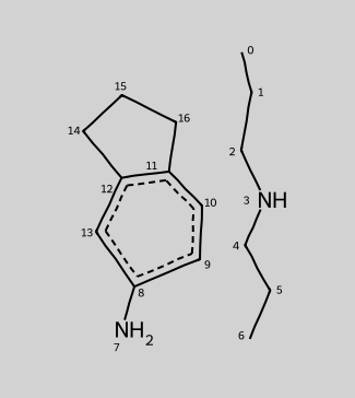 CCCNCCC.Nc1ccc2c(c1)CCC2